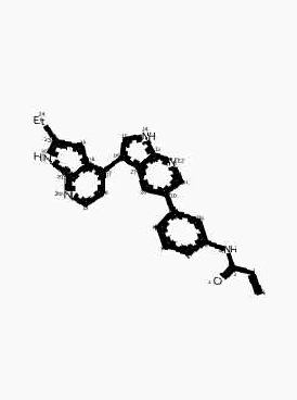 C=CC(=O)Nc1cccc(-c2cnc3[nH]cc(-c4ccnc5[nH]c(CC)cc45)c3c2)c1